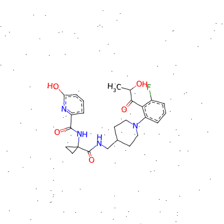 CC(O)C(=O)c1c(F)cccc1N1CCC(CNC(=O)C2(NC(=O)c3cccc(O)n3)CC2)CC1